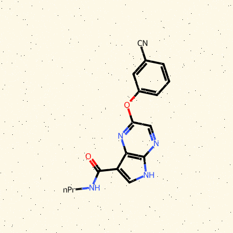 CCCNC(=O)c1c[nH]c2ncc(Oc3cccc(C#N)c3)nc12